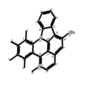 Cc1c(C)c(C)c2c(c1C)c1c3c(cc[n+]1C)cc(C(C)(C)C)c1c4ccccc4n2c13